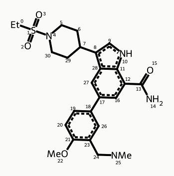 CCS(=O)(=O)N1CCC(c2c[nH]c3c(C(N)=O)cc(-c4ccc(OC)c(CNC)c4)cc23)CC1